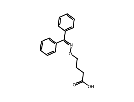 O=C(O)CCCON=C(c1ccccc1)c1ccccc1